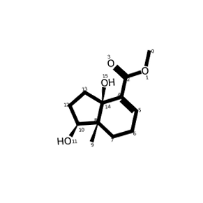 COC(=O)C1=CCC[C@]2(C)[C@@H](O)CC[C@]12O